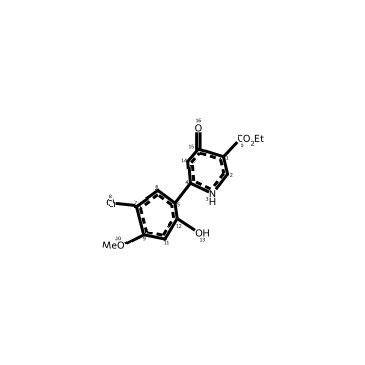 CCOC(=O)c1c[nH]c(-c2cc(Cl)c(OC)cc2O)cc1=O